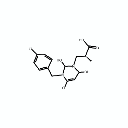 C[C@@H](CN1C(O)C=C(Cl)N(Cc2ccc(Cl)cc2)C1O)C(=O)O